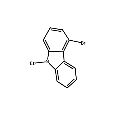 CCn1c2ccccc2c2c(Br)cccc21